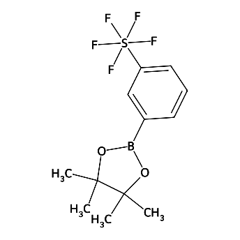 CC1(C)OB(c2cccc(S(F)(F)(F)(F)F)c2)OC1(C)C